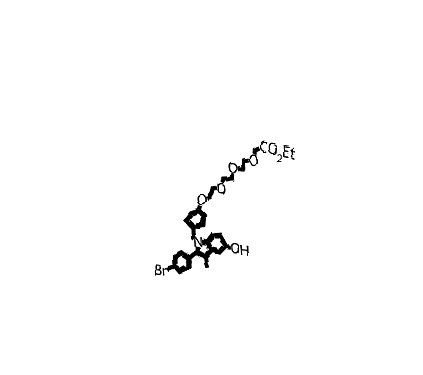 CCOC(=O)COCCOCCOCCOc1ccc(Cn2c(-c3ccc(Br)cc3)c(C)c3cc(O)ccc32)cc1